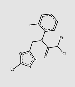 CCc1nnc(CN(C(=O)C(Cl)CC)c2ccccc2C)o1